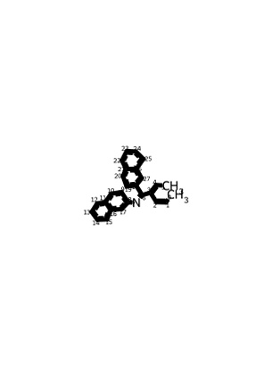 C\C=C/C(=C\C)C(=N/c1ccc2ccccc2c1)/c1ccc2ccccc2c1